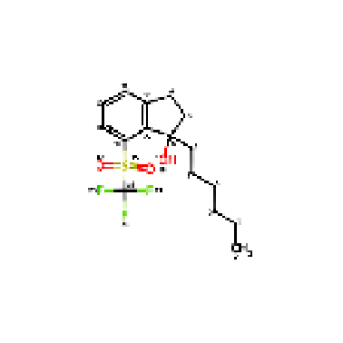 CCCCCCC1(O)CCc2cccc(S(=O)(=O)C(F)(F)F)c21